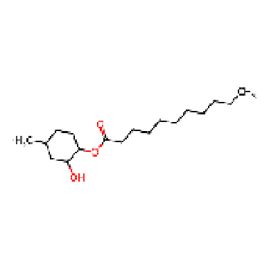 [CH2]C1CCC(OC(=O)CCCCCCCCCC)C(O)C1